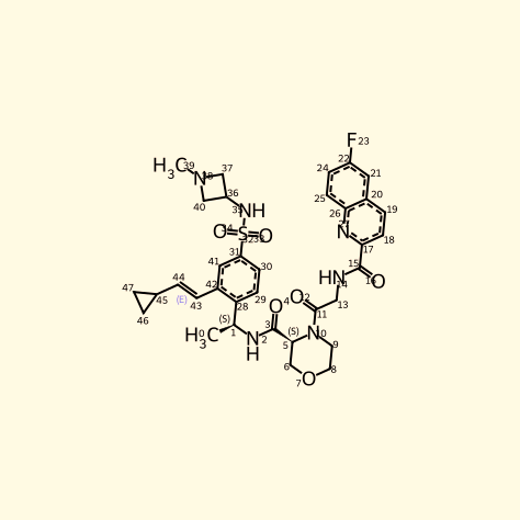 C[C@H](NC(=O)[C@@H]1COCCN1C(=O)CNC(=O)c1ccc2cc(F)ccc2n1)c1ccc(S(=O)(=O)NC2CN(C)C2)cc1/C=C/C1CC1